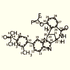 Cc1cc(P(C)(C)=O)ccc1-c1ccc2nc3n(c2c1)[C@@H]1C[C@H]3NC(=O)c2cccc(OC(F)F)c21